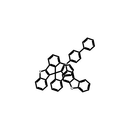 c1ccc(-c2ccc(N(c3ccc4oc5ccccc5c4c3)c3cccc4c3C3(c5ccccc5-c5ccccc53)c3c-4sc4ccccc34)cc2)cc1